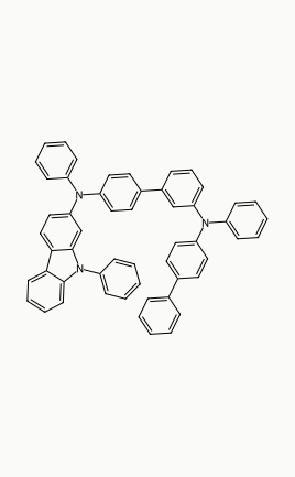 c1ccc(-c2ccc(N(c3ccccc3)c3cccc(-c4ccc(N(c5ccccc5)c5ccc6c7ccccc7n(-c7ccccc7)c6c5)cc4)c3)cc2)cc1